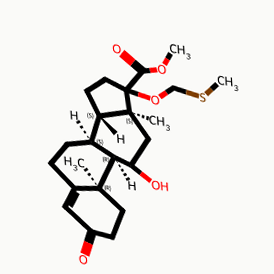 COC(=O)C1(OCSC)CC[C@H]2[C@@H]3CCC4=CC(=O)CC[C@]4(C)[C@@H]3C(O)C[C@@]21C